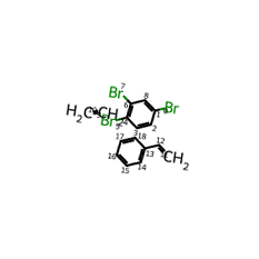 Brc1ccc(Br)c(Br)c1.C=C.C=Cc1ccccc1